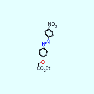 CCOC(=O)COc1ccc(N=Nc2ccc([N+](=O)[O-])cc2)cc1